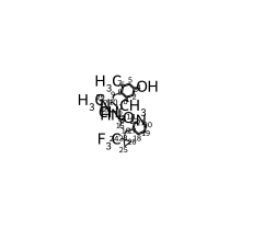 Cc1cc(O)cc(C)c1C[C@@H](CNC(=O)C[C@H](c1cccnc1)C1(C(F)(F)F)CC1)N(C)C